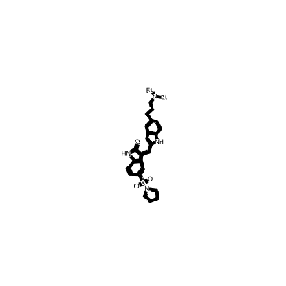 CCN(CC)CCCc1ccc2[nH]c(C=C3C(=O)Nc4ccc(S(=O)(=O)N5CCCC5)cc43)cc2c1